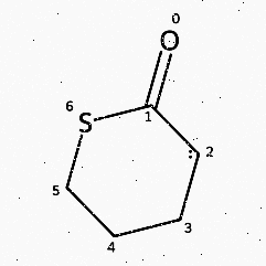 O=C1[C]CCCS1